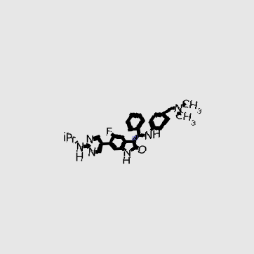 CC(C)Nc1ncc(-c2cc3c(cc2F)/C(=C(/Nc2ccc(CN(C)C)cc2)c2ccccc2)C(=O)N3)cn1